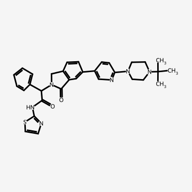 CC(C)(C)N1CCN(c2ccc(-c3ccc4c(c3)C(=O)N(C(C(=O)Nc3nccs3)c3ccccc3)C4)cn2)CC1